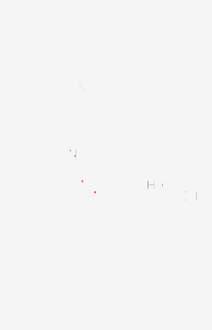 CC1(C)c2ccccc2-c2ccc(-c3ccc(N(c4ccc5sc6c(c5c4)C=CCC6)c4ccccc4-c4ccccc4-c4ccccc4-c4ccccc4)cc3)cc21